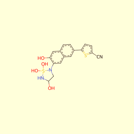 N#Cc1ccc(-c2ccc3cc(O)c(N4CC(O)NS4(O)O)cc3c2)s1